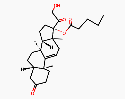 CCCCC(=O)O[C@@]1(C(=O)CO)CC[C@H]2[C@@H]3CC[C@H]4CC(=O)CC[C@]4(C)C3=CC[C@@]21C